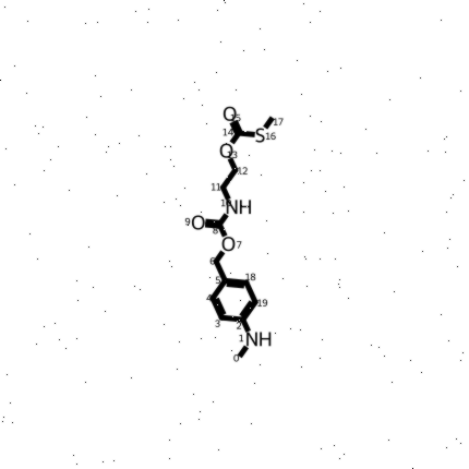 CNc1ccc(COC(=O)NCCOC(=O)SC)cc1